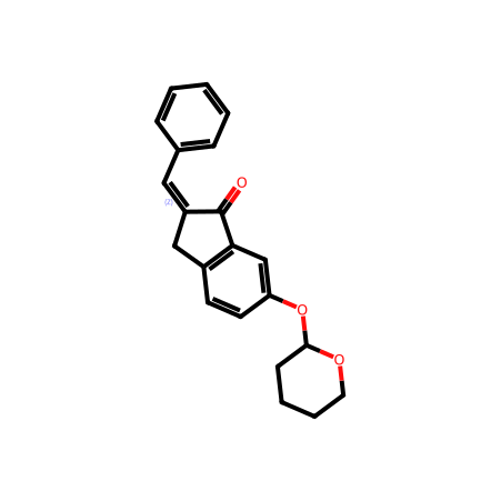 O=C1/C(=C\c2ccccc2)Cc2ccc(OC3CCCCO3)cc21